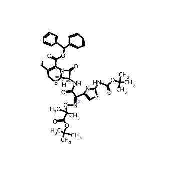 CC(C)(C)OC(=O)Nc1nc(/C(=N/OC(C)(C)C(=O)OC(C)(C)C)C(=O)N[C@@H]2C(=O)N3C(C(=O)OC(c4ccccc4)c4ccccc4)=C(CI)CS[C@H]23)cs1